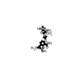 CC1C2B(O)Oc3c(ccc(OC4CN(C(=O)[C@](C)(N)c5c[nH]cn5)C4)c3C(=O)O)C12